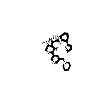 Fc1c(-c2cncc(CN3CCCCC3)c2)ncc2[nH]nc(-c3nc4c(-c5cccs5)cccc4[nH]3)c12